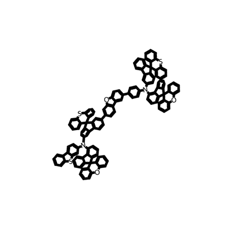 c1ccc2c(c1)Oc1ccccc1C21c2ccccc2-c2c(N(c3ccc(-c4ccc5oc6cc(-c7ccc8c(c7)C7(c9ccccc9Sc9ccccc97)c7ccc(N(c9ccc%10c(c9)sc9ccccc9%10)c9cccc%10c9-c9ccccc9C%109c%10ccccc%10Oc%10ccccc%109)cc7-8)ccc6c5c4)cc3)c3ccc4c(c3)-c3ccccc3C43c4ccccc4Sc4ccccc43)cccc21